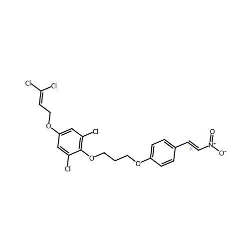 O=[N+]([O-])/C=C/c1ccc(OCCCOc2c(Cl)cc(OCC=C(Cl)Cl)cc2Cl)cc1